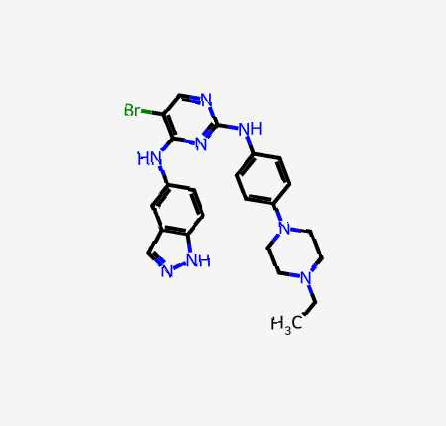 CCN1CCN(c2ccc(Nc3ncc(Br)c(Nc4ccc5[nH]ncc5c4)n3)cc2)CC1